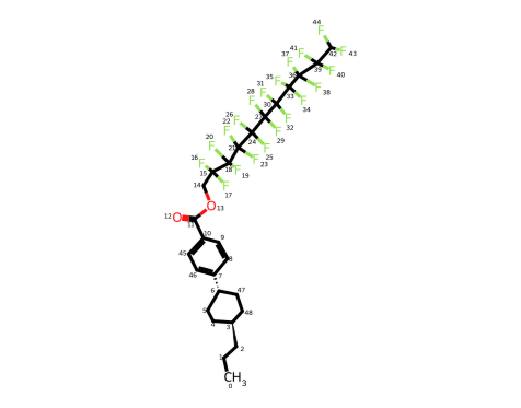 CCC[C@H]1CC[C@H](c2ccc(C(=O)OCC(F)(F)C(F)(F)C(F)(F)C(F)(F)C(F)(F)C(F)(F)C(F)(F)C(F)(F)C(F)(F)C(F)F)cc2)CC1